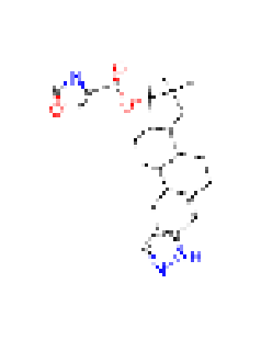 CC1(C)CC2C3CCC4=Cc5[nH]ncc5CC4C3CCC2C1(C)OC(=O)c1cocn1